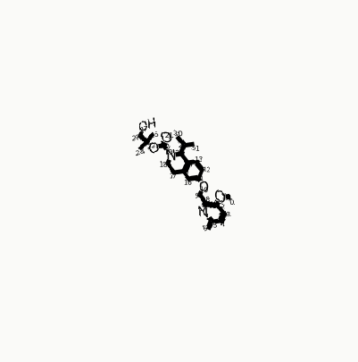 COc1ccc(C)nc1COc1ccc2c(c1)CCN(C(=O)OC(C)(C)CO)C2C(C)C